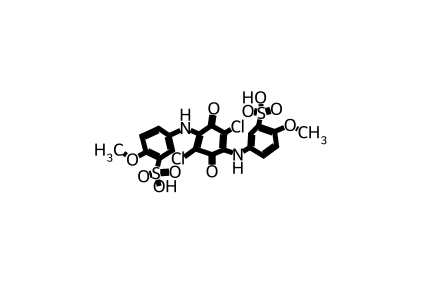 COc1ccc(NC2=C(Cl)C(=O)C(Nc3ccc(OC)c(S(=O)(=O)O)c3)=C(Cl)C2=O)cc1S(=O)(=O)O